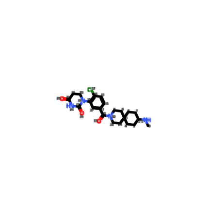 CNC1CCC2(CC1)CCN(C(=O)c1ccc(Cl)c(N3CCC(=O)NC3=O)c1)CC2